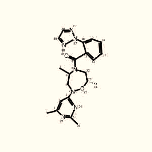 Cc1cc(N2CC(C)N(C(=O)c3ccccc3-n3nccn3)C[C@H](C)O2)nc(C)n1